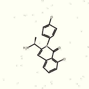 C[C@H](N)c1cc2cccc(Cl)c2c(=O)n1-c1ccc(Cl)cc1